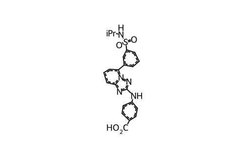 CC(C)NS(=O)(=O)c1cccc(-c2cccc3nc(Nc4ccc(C(=O)O)cc4)nn23)c1